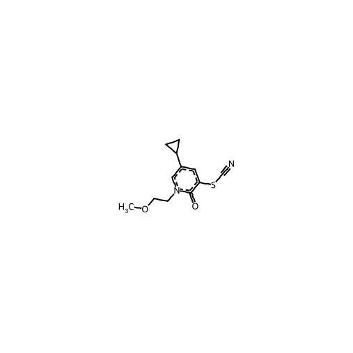 COCCn1cc(C2CC2)cc(SC#N)c1=O